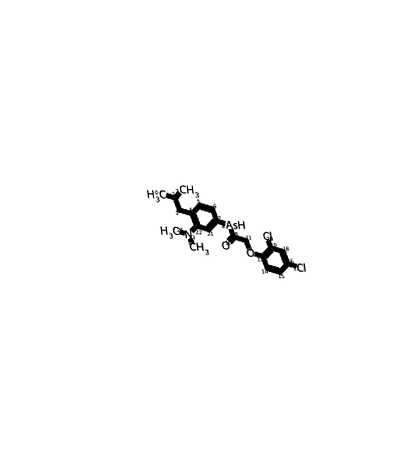 C[C](C)Cc1ccc([AsH]C(=O)COc2ccc(Cl)cc2Cl)cc1N(C)C